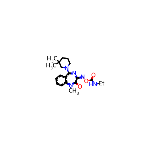 CCNC(=O)ON=c1nc(N2CCCC(C)(C)C2)c2ccccc2n(C)c1=O